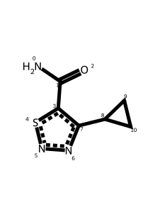 NC(=O)c1snnc1C1CC1